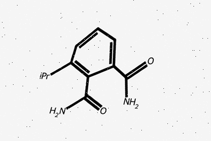 CC(C)c1cccc(C(N)=O)c1C(N)=O